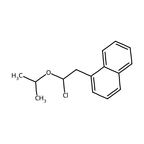 CC(C)OC(Cl)Cc1cccc2ccccc12